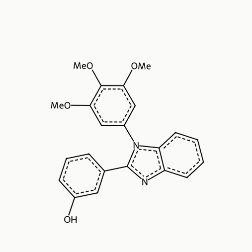 COc1cc(-n2c(-c3cccc(O)c3)nc3ccccc32)cc(OC)c1OC